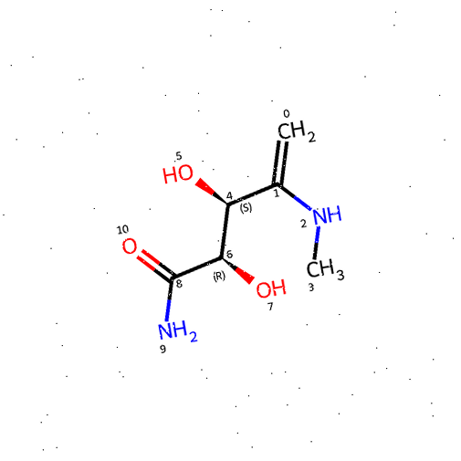 C=C(NC)[C@H](O)[C@@H](O)C(N)=O